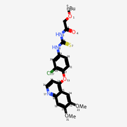 CCCCOCC(=O)NC(=S)Nc1ccc(Oc2ccnc3cc(OC)c(OC)cc23)c(Cl)c1